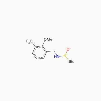 COc1c(CN[S+]([O-])C(C)(C)C)cccc1C(F)(F)F